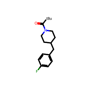 CC(C)(C)C(=O)N1CCC(Cc2ccc(F)cc2)CC1